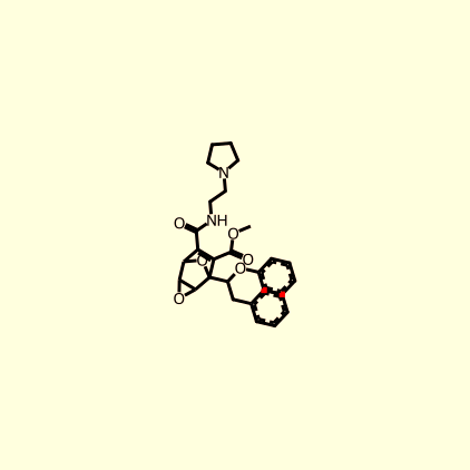 COC(=O)C1=C(C(=O)NCCN2CCCC2)C2OC1(C(Cc1ccccc1)Oc1ccccc1)C1OC21